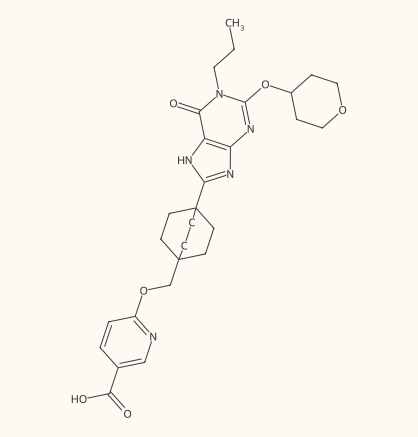 CCCn1c(OC2CCOCC2)nc2nc(C34CCC(COc5ccc(C(=O)O)cn5)(CC3)CC4)[nH]c2c1=O